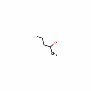 CCC[CH]C(C)[O]